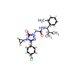 Cc1ccccc1C(NC(=O)Cn1nc(-c2ccc(Cl)cc2)n(C2CC2)c1=O)C(C)C